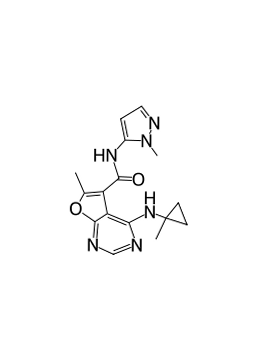 Cc1oc2ncnc(NC3(C)CC3)c2c1C(=O)Nc1ccnn1C